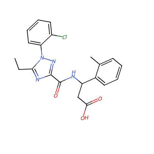 CCc1nc(C(=O)NC(CC(=O)O)c2ccccc2C)nn1-c1ccccc1Cl